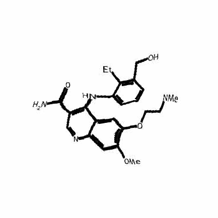 CCc1c(CO)cccc1Nc1c(C(N)=O)cnc2cc(OC)c(OCCNC)cc12